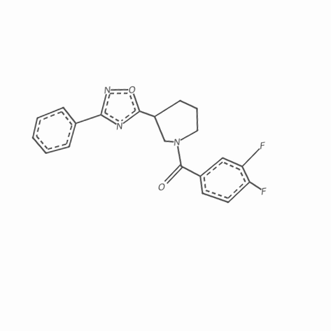 O=C(c1ccc(F)c(F)c1)N1CCCC(c2nc(-c3ccccc3)no2)C1